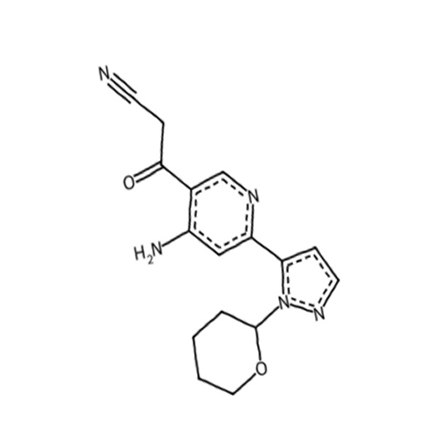 N#CCC(=O)c1cnc(-c2ccnn2C2CCCCO2)cc1N